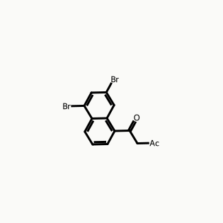 CC(=O)CC(=O)c1cccc2c(Br)cc(Br)cc12